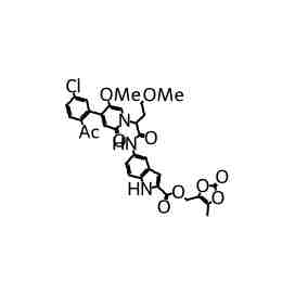 COCCC(C(=O)Nc1ccc2[nH]c(C(=O)OCc3oc(=O)oc3C)cc2c1)n1cc(OC)c(-c2cc(Cl)ccc2C(C)=O)cc1=O